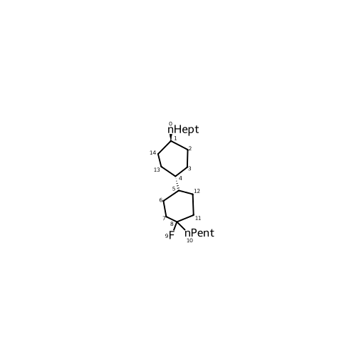 CCCCCCC[C@H]1CC[C@H](C2CCC(F)(CCCCC)CC2)CC1